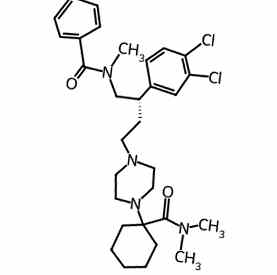 CN(C)C(=O)C1(N2CCN(CC[C@H](CN(C)C(=O)c3ccccc3)c3ccc(Cl)c(Cl)c3)CC2)CCCCC1